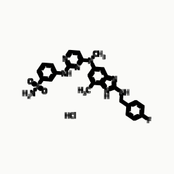 Cc1cc(N(C)c2ccnc(Nc3cccc(S(N)(=O)=O)c3)n2)cc2nc(NCc3ccc(F)cc3)[nH]c12.Cl